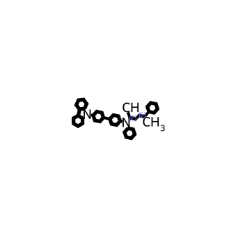 C#C/C(=C\C=C(/C)c1ccccc1)N(c1ccccc1)c1ccc(-c2ccc(-n3c4ccccc4c4ccccc43)cc2)cc1